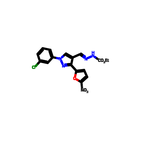 CCOC(=O)N/N=C/c1cn(-c2cccc(Cl)c2)nc1-c1ccc([N+](=O)[O-])o1